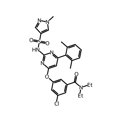 CCN(CC)C(=O)c1cc(Cl)cc(Oc2cc(-c3c(C)cccc3C)nc(NS(=O)(=O)c3cnn(C)c3)n2)c1